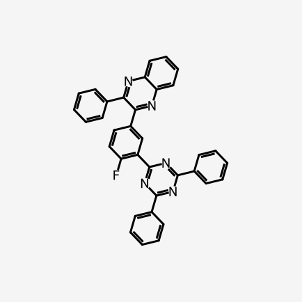 Fc1ccc(-c2nc3ccccc3nc2-c2ccccc2)cc1-c1nc(-c2ccccc2)nc(-c2ccccc2)n1